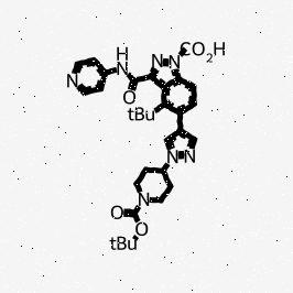 CC(C)(C)OC(=O)N1CCC(n2cc(-c3ccc4c(c(C(=O)Nc5ccncc5)nn4C(=O)O)c3C(C)(C)C)cn2)CC1